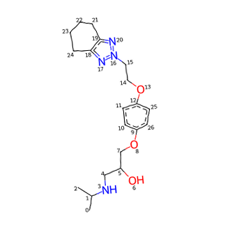 CC(C)NCC(O)COc1ccc(OCCn2nc3c(n2)CCCC3)cc1